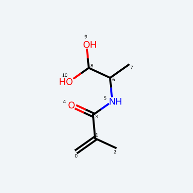 C=C(C)C(=O)NC(C)C(O)O